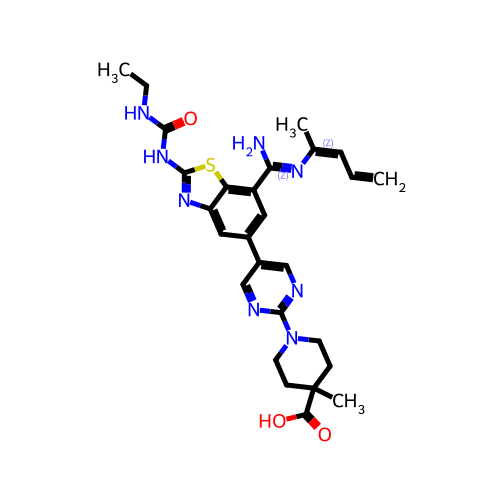 C=C/C=C(C)\N=C(/N)c1cc(-c2cnc(N3CCC(C)(C(=O)O)CC3)nc2)cc2nc(NC(=O)NCC)sc12